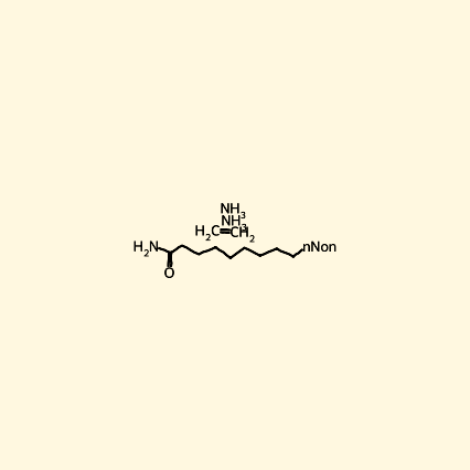 C=C.CCCCCCCCCCCCCCCCCC(N)=O.N.N